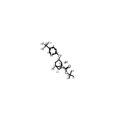 C[C@@H]1[C@H]2C[C@@H](Oc3ccc(C(F)(F)F)cn3)[C@H](C2)N1C(=O)OC(C)(C)C